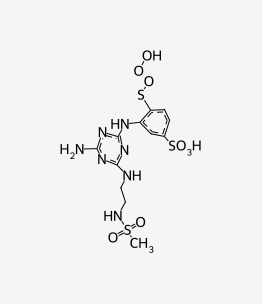 CS(=O)(=O)NCCNc1nc(N)nc(Nc2cc(S(=O)(=O)O)ccc2SOOO)n1